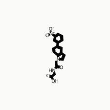 O=C(O)CNC(=O)Cn1ccc2cc(-c3cccc([N+](=O)[O-])c3)ccc21